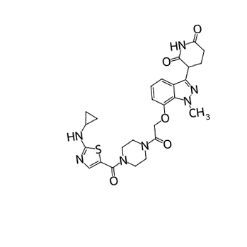 Cn1nc(C2CCC(=O)NC2=O)c2cccc(OCC(=O)N3CCN(C(=O)c4cnc(NC5CC5)s4)CC3)c21